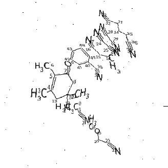 CC#N.CC1=C(C)C(=O)CC(C)(C)C1.CCC#N.COCC#N.N#CC#N.N#CC#N.N#CCCCC#N.N#Cc1ccccc1